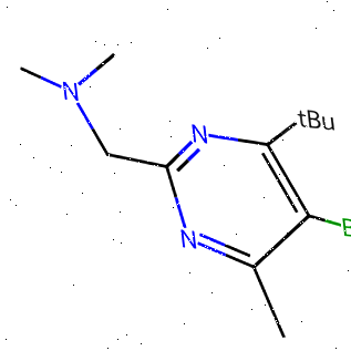 Cc1nc(CN(C)C)nc(C(C)(C)C)c1Br